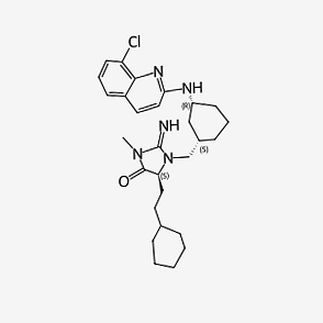 CN1C(=N)N(C[C@H]2CCC[C@@H](Nc3ccc4cccc(Cl)c4n3)C2)[C@@H](CCC2CCCCC2)C1=O